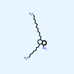 CCCCCCCCCCCCC1CCC(CCCCCCCC)c2c(N)cccc21